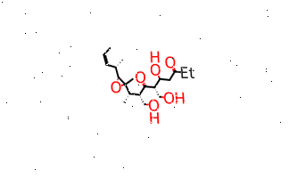 C/C=C\[C@H](C)[C@H]1OC1(C)[C@@H](C)[C@@H](CO)C(=O)[C@@H](CO)C(O)CC(=O)CC